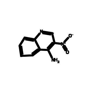 Nc1c([N+](=O)[O-])[c]nc2ccccc12